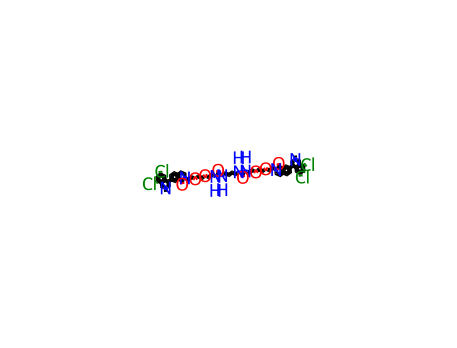 CN1Cc2c(Cl)cc(Cl)cc2C(c2ccc3c(c2)C(=O)N(CCOCCOCCNC(=O)NCCCCNC(=O)NCCOCCOCCN2CCc4ccc(C5CN(C)Cc6c(Cl)cc(Cl)cc65)cc4C2=O)CC3)C1